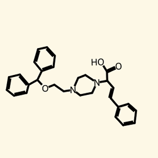 O=C(O)C(/C=C/c1ccccc1)N1CCN(CCOC(c2ccccc2)c2ccccc2)CC1